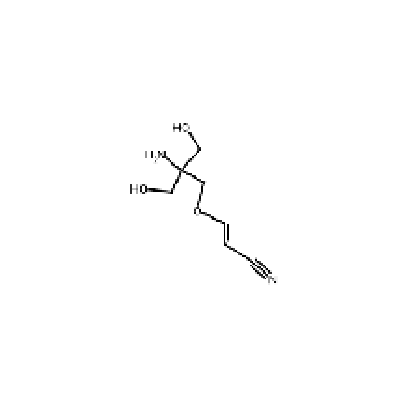 N#C/C=C/OCC(N)(CO)CO